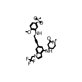 COc1ccc(S(C)(=O)=O)cc1NCC#Cc1cc(NC2CCN(C)C(=O)C2)c2ccn(CC(F)(F)F)c2c1